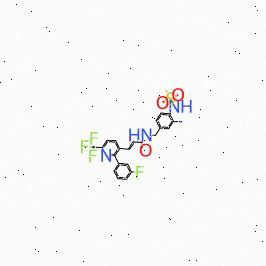 Cc1cc(CNC(=O)C=Cc2ccc(C(F)(F)F)nc2-c2cccc(F)c2)ccc1NS(C)(=O)=O